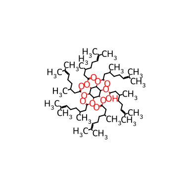 CC(C)=CCCC(C)CC(=O)OC1C(OC(=O)CC(C)CCC=C(C)C)C(OC(=O)CC(C)CCC=C(C)C)C(OC(O)CC(C)CCC=C(C)C)C(OC(=O)CC(C)CCC=C(C)C)C1OC(=O)CC(C)CCC=C(C)C